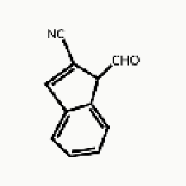 N#CC1=Cc2ccccc2C1C=O